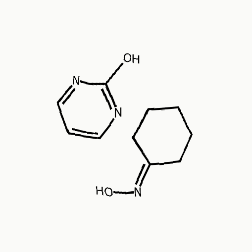 ON=C1CCCCC1.Oc1ncccn1